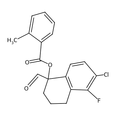 Cc1ccccc1C(=O)OC1(C=O)CCCc2c1ccc(Cl)c2F